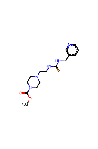 CC(C)(C)OC(=O)N1CCN(CCNC(=S)NCc2cccnc2)CC1